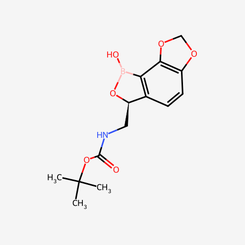 CC(C)(C)OC(=O)NC[C@H]1OB(O)c2c1ccc1c2OCO1